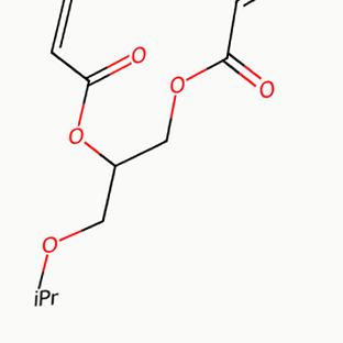 C=CC(=O)OCC(COC(C)C)OC(=O)C=C